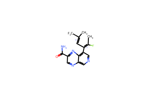 C/C(F)=C(\C=C(/C)C(F)(F)F)c1cncc2ncc(C(N)=O)nc12